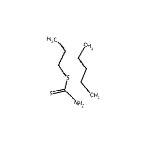 CCCCC.CCCSC(N)=S